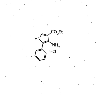 CCOC(=O)c1c[nH]c(-c2ccccc2)c1N.Cl